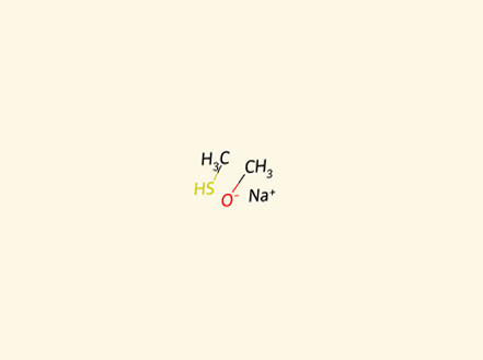 CS.C[O-].[Na+]